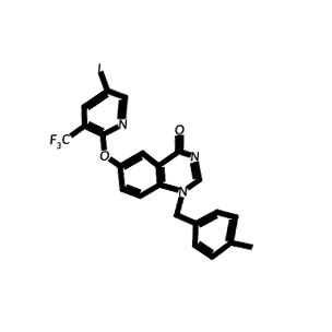 Cc1ccc(Cn2cnc(=O)c3cc(Oc4ncc(I)cc4C(F)(F)F)ccc32)cc1